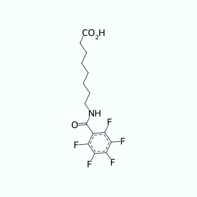 O=C(O)CCCCCCCNC(=O)c1c(F)c(F)c(F)c(F)c1F